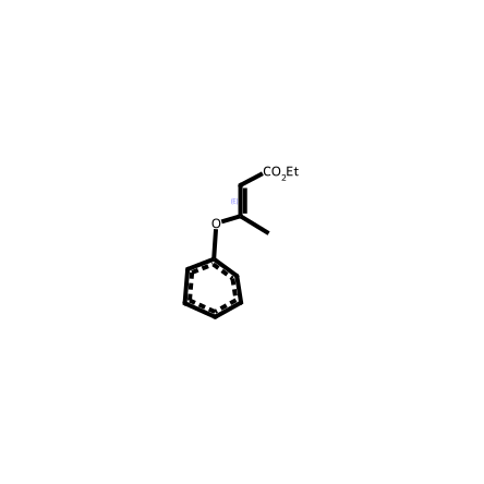 CCOC(=O)/C=C(\C)Oc1ccccc1